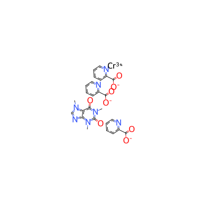 Cn1c(=O)c2c(ncn2C)n(C)c1=O.O=C([O-])c1ccccn1.O=C([O-])c1ccccn1.O=C([O-])c1ccccn1.[Cr+3]